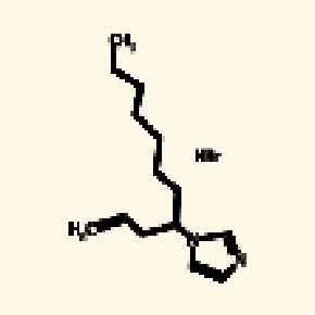 Br.C=CCC(CCCCCCC)n1ccnc1